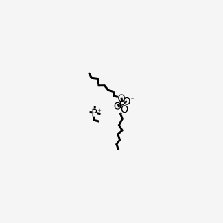 CCCCCCCCOP(=O)([O-])OCCCCCCCC.CC[P+](C)(C)C